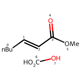 CCCCC=CC(=O)OC.O=C(O)O